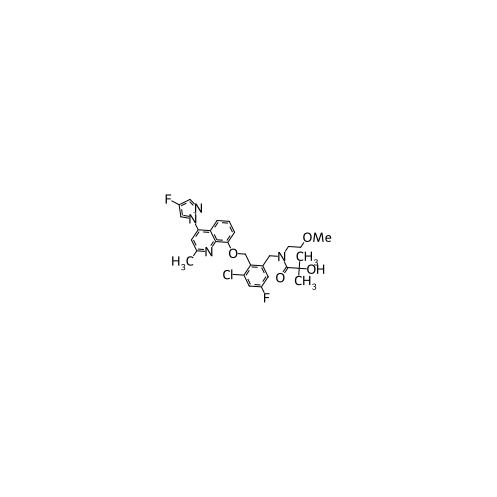 COCCN(Cc1cc(F)cc(Cl)c1COc1cccc2c(-n3cc(F)cn3)cc(C)nc12)C(=O)C(C)(C)O